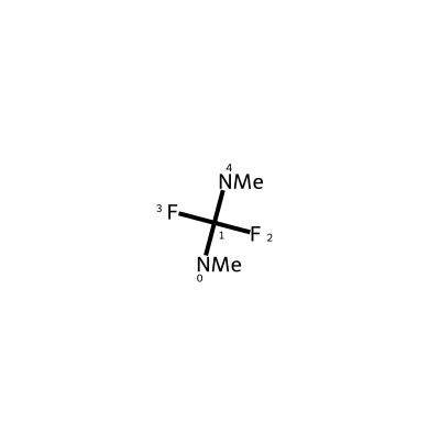 CNC(F)(F)NC